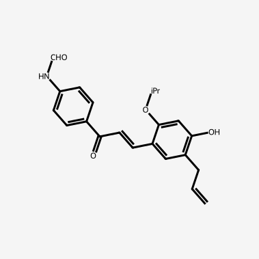 C=CCc1cc(C=CC(=O)c2ccc(NC=O)cc2)c(OC(C)C)cc1O